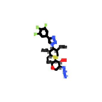 CO[C@H]1C[SH]([C@@H]2COC[C@H](N=[N+]=[N-])[C@H]2O)[C@H](COC(C)=O)[C@H](OC(C)=O)[C@@H]1n1cc(-c2cc(F)c(F)c(F)c2)nn1